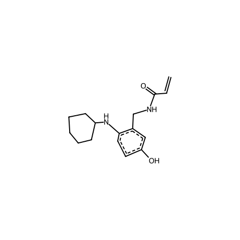 C=CC(=O)NCc1cc(O)ccc1NC1CCCCC1